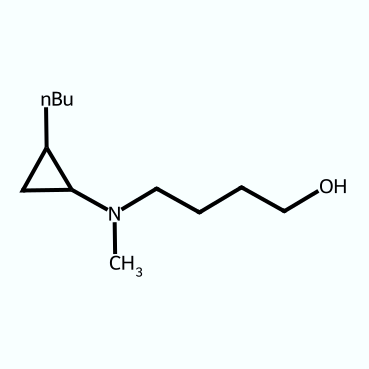 CCCCC1CC1N(C)CCCCO